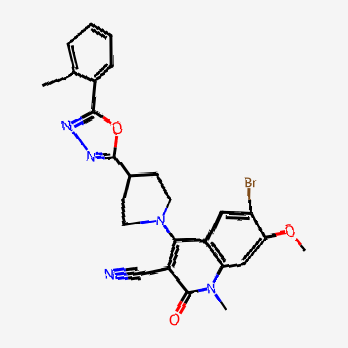 COc1cc2c(cc1Br)c(N1CCC(c3nnc(-c4ccccc4C)o3)CC1)c(C#N)c(=O)n2C